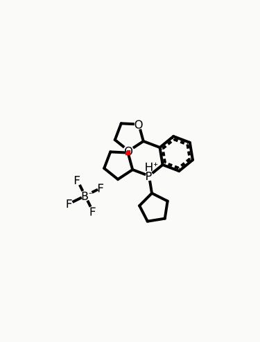 F[B-](F)(F)F.c1ccc([PH+](C2CCCC2)C2CCCC2)c(C2OCCO2)c1